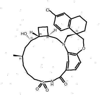 C[C@@H]1CCCS(=O)(=O)NC(=O)c2ccc3c(c2)N(C[C@@H]2CC[C@H]2[C@@H](O)C1)C[C@@]1(CCCc2cc(Cl)ccc21)CO3